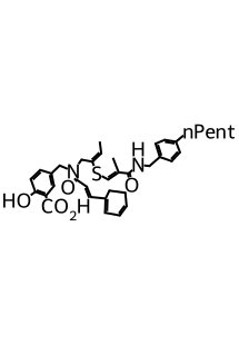 CC=C(CN(Cc1ccc(O)c(C(=O)O)c1)C(=O)/C=C/C1=CC=CCC1)S/C=C(\C)C(=O)NCc1ccc(CCCCC)cc1